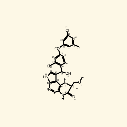 COC[C@]1(C)Nc2c(cnc3[nH]cc(C(O)c4ccc(Oc5cc(C)nc(Cl)c5)cc4Cl)c23)NC1=O